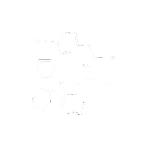 NC(Cc1ccc(C(=O)O)cc1)C(=O)O.O=C(O)CCSC(c1ccccc1)(c1ccccc1)c1ccccc1